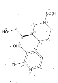 O=Cc1c(N2CCN(C(=O)O)C[C@@H]2CCO)ccnc1Cl